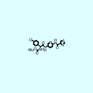 CC(C)(C)OC(=O)NC(C(=O)Nc1ccc(NC(=O)c2cscn2)nc1)c1ccc(Cl)cc1